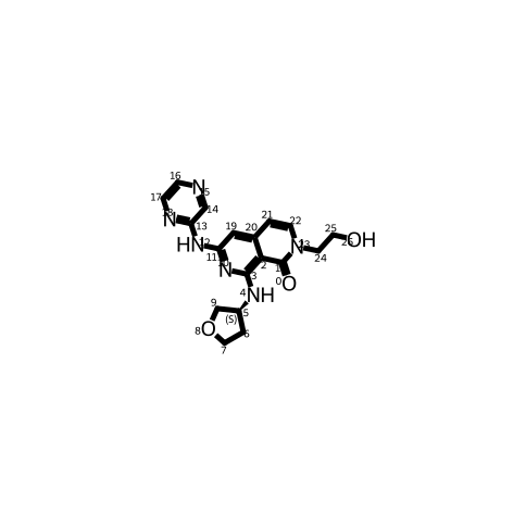 O=c1c2c(N[C@H]3CCOC3)nc(Nc3cnccn3)cc2ccn1CCO